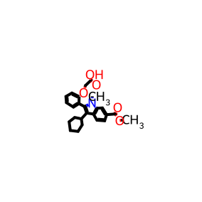 COC(=O)c1ccc2c(C3CCCCC3)c(-c3ccccc3OCC(=O)O)n(C)c2c1